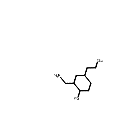 CC(C)(C)CCC1CCC(O)C(CP)C1